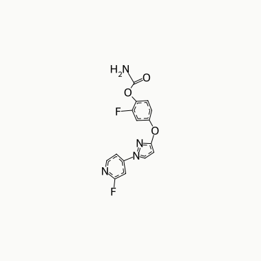 NC(=O)Oc1ccc(Oc2ccn(-c3ccnc(F)c3)n2)cc1F